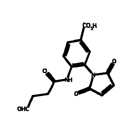 O=CCCC(=O)Nc1ccc(C(=O)O)cc1N1C(=O)C=CC1=O